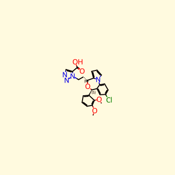 COc1cccc([C@H]2O[C@H](CCn3nncc3C(=O)O)c3cccn3-c3ccc(Cl)cc32)c1OC